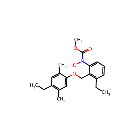 CCc1cc(C)c(OCc2c(CC)cccc2N(O)C(=O)OC)cc1C